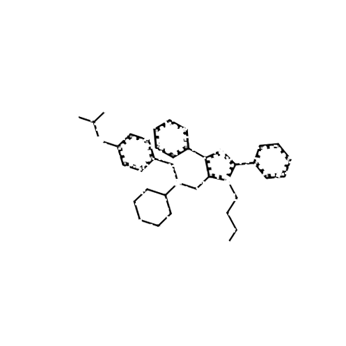 CCCCn1c(-c2ccccc2)nc(-c2ccccc2)c1CN(Cc1ccc(OC(F)F)cc1)C1CCCCC1